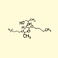 CC(O)CO.CCCCOC(C)OC(C)OCCCC